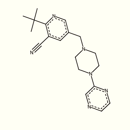 CC(C)(C)c1ncc(CN2CCN(c3cnccn3)CC2)cc1C#N